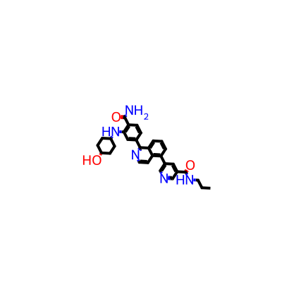 CCCNC(=O)c1cncc(-c2cccc3c(-c4ccc(C(N)=O)c(NC5CCC(O)CC5)c4)nccc23)c1